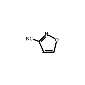 N#Cc1[c]con1